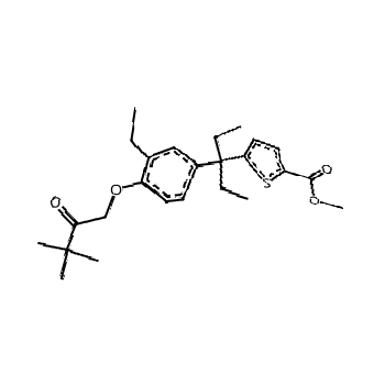 CCc1cc(C(CC)(CC)c2ccc(C(=O)OC)s2)ccc1OCC(=O)C(C)(C)C